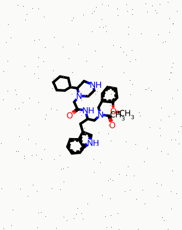 COc1ccccc1CN(CC(Cc1c[nH]c2ccccc12)NC(=O)CN1CCNCC1C1CCCCC1)C(C)=O